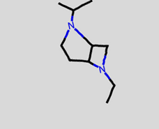 CCN1CC2C1CCN2C(C)C